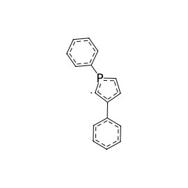 [c]1c(-c2ccccc2)ccp1-c1ccccc1